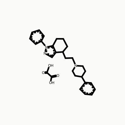 O=C(O)C(=O)O.c1ccc(C2CCN(CCC3CCCc4c3cnn4-c3ccccc3)CC2)cc1